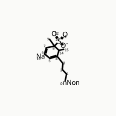 CCCCCCCCCCCCC1=CC=CC(C)(S(=O)(=O)[O-])C1C.[Na+]